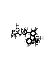 OC(Cn1cc(-c2cc(F)cc3c2-c2ccccc2C3(O)C(F)(F)F)cn1)C(F)(F)F